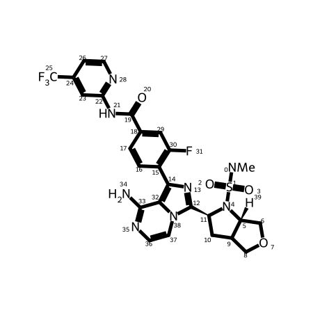 CNS(=O)(=O)N1[C@@H]2COCC2C[C@H]1c1nc(-c2ccc(C(=O)Nc3cc(C(F)(F)F)ccn3)cc2F)c2c(N)nccn12